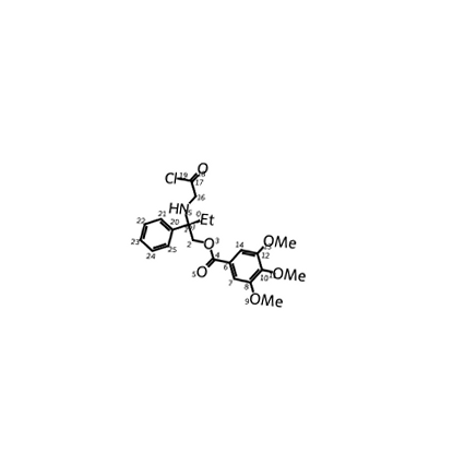 CC[C@](COC(=O)c1cc(OC)c(OC)c(OC)c1)(NCC(=O)Cl)c1ccccc1